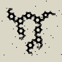 COC1CCC(OC2COC(OC3CCC(OC4COC(OC5CCC(OC6COC(OC)CC6OC6CCC(CO)CO6)OC5)C(OC5CCC(CO)O5)C4)OC3)CC2OC2CCC(CO)CO2)OC1